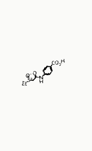 CC[S+]([O-])CC(=O)Nc1ccc(C(=O)O)cc1